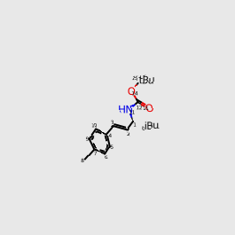 CC[C@H](C)[C@@H](C=Cc1ccc(C)cc1)NC(=O)OC(C)(C)C